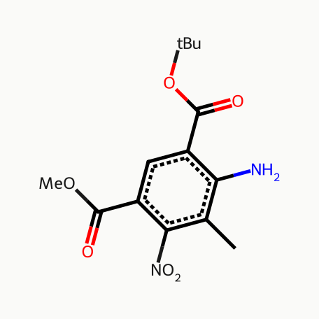 COC(=O)c1cc(C(=O)OC(C)(C)C)c(N)c(C)c1[N+](=O)[O-]